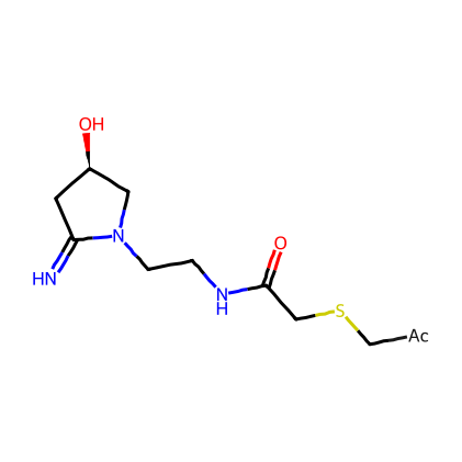 CC(=O)CSCC(=O)NCCN1C[C@H](O)CC1=N